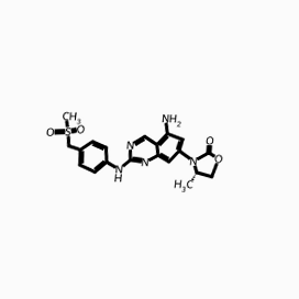 C[C@H]1COC(=O)N1c1cc(N)c2cnc(Nc3ccc(CS(C)(=O)=O)cc3)nc2c1